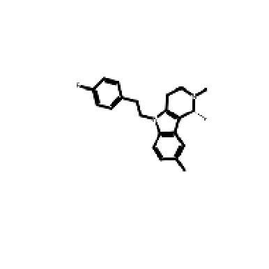 Cc1ccc2c(c1)c1c(n2CCc2ccc(F)cc2)CCN(C)[C@@H]1C